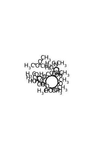 CCOC(C)OCC.CC[C@H]1OC(=O)[C@H](C)[C@@H](O[C@H]2C[C@@](C)(OC)[C@@H](O)[C@H](C)O2)[C@H](C)[C@@H](O[C@@H]2O[C@H](C)C[C@H](N(C)C)[C@H]2O)[C@](C)(O)C[C@@H](C)C(=O)[C@H](C)[C@@H](O)[C@]1(C)O